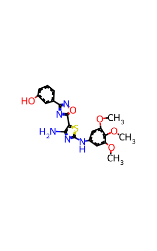 COc1cc(Nc2nc(N)c(-c3nc(-c4cccc(O)c4)no3)s2)cc(OC)c1OC